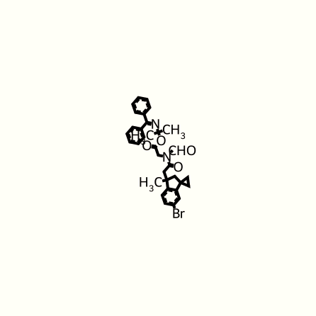 CC(C)(N=C(c1ccccc1)c1ccccc1)OC(=O)CN(C=O)C(=O)CC1(C)CC2(CC2)c2cc(Br)ccc21